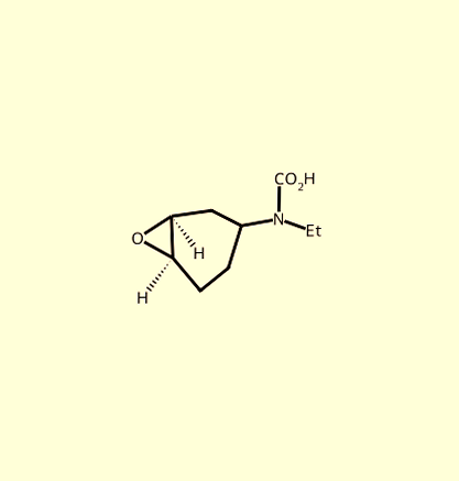 CCN(C(=O)O)C1CC[C@H]2O[C@H]2C1